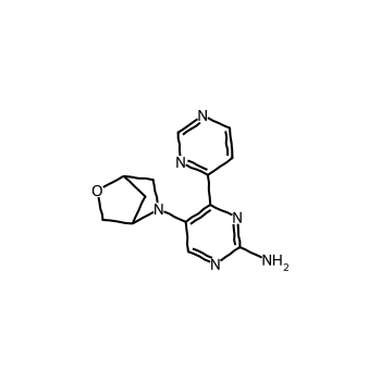 Nc1ncc(N2CC3CC2CO3)c(-c2ccncn2)n1